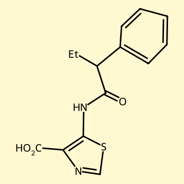 CCC(C(=O)Nc1scnc1C(=O)O)c1ccccc1